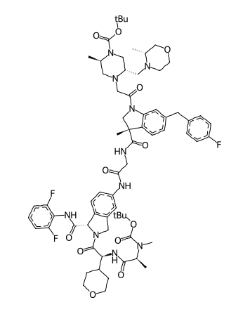 C[C@@H]1COCCN1C[C@H]1CN(C(=O)OC(C)(C)C)[C@H](C)CN1CC(=O)N1C[C@@](C)(C(=O)NCC(=O)Nc2ccc3c(c2)CN(C(=O)[C@@H](NC(=O)[C@H](C)N(C)C(=O)OC(C)(C)C)C2CCOCC2)[C@@H]3C(=O)Nc2c(F)cccc2F)c2ccc(Cc3ccc(F)cc3)cc21